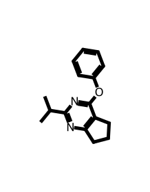 CC(C)c1nc2c(c(Oc3ccccc3)n1)CCC2